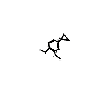 CCc1c[c]c(C2CC2)cc1CC